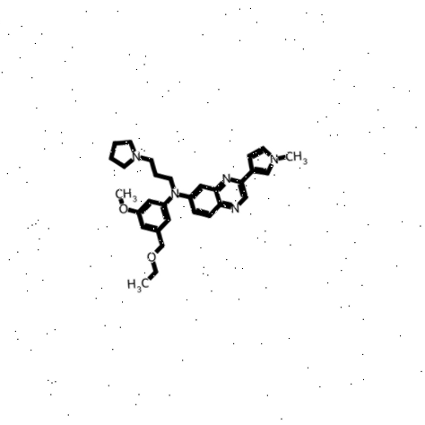 CCOCc1cc(OC)cc(N(CCCN2CCCC2)c2ccc3ncc(-c4ccn(C)c4)nc3c2)c1